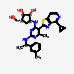 Cc1cccc([C@@H](C)Nc2nc(C)c(-c3nc4c(C5CC5)nccc4s3)c(N[C@@H]3C[C@H](CO)[C@@H](O)[C@H]3O)n2)c1